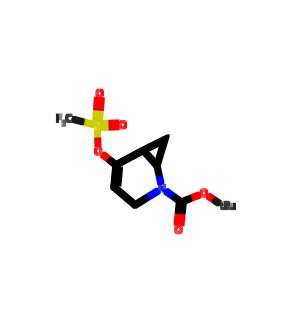 CC(C)(C)OC(=O)N1CC=C(OS(=O)(=O)C(F)(F)F)C2CC21